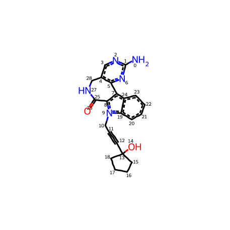 Nc1ncc2c(n1)-c1c(n(CC#CC3(O)CCCC3)c3ccccc13)C(=O)NC2